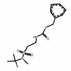 CN(C(C)(C)C)S(=O)(=O)CCNC(=O)OCc1ccccc1